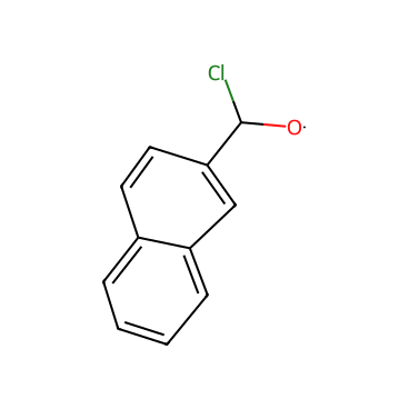 [O]C(Cl)c1ccc2ccccc2c1